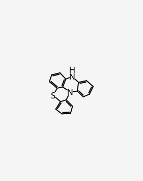 c1ccc2c(c1)Nc1cccc3c1N2c1ccccc1S3